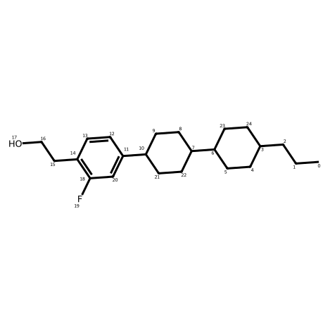 CCCC1CCC(C2CCC(c3ccc(CCO)c(F)c3)CC2)CC1